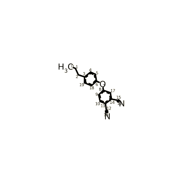 CCCc1ccc(Oc2ccc(C#N)c(C#N)c2)cc1